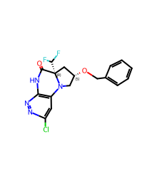 O=C1Nc2nnc(Cl)cc2N2C[C@@H](OCc3ccccc3)C[C@]12C(F)F